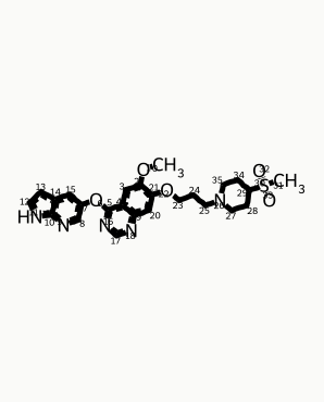 COc1cc2c(Oc3cnc4[nH]ccc4c3)ncnc2cc1OCCCN1CCC(S(C)(=O)=O)CC1